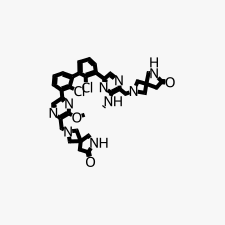 CNc1nc(-c2cccc(-c3cccc(-c4cnc(CN5CC6(CNC(=O)C6)C5)c(OC)n4)c3Cl)c2Cl)cnc1CN1CC2(CNC(=O)C2)C1